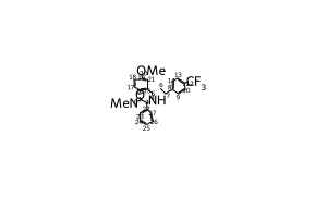 CNC(=O)[C@@H](N[C@@H](CCc1ccc(C(F)(F)F)cc1)c1cccc(OC)c1)c1ccccc1